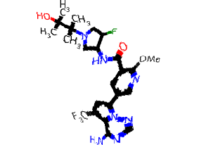 COc1ncc(-c2cc(C(F)(F)F)c3c(N)ncnn23)cc1C(=O)NC1CN(C(C)(C)C(C)(C)O)CC1F